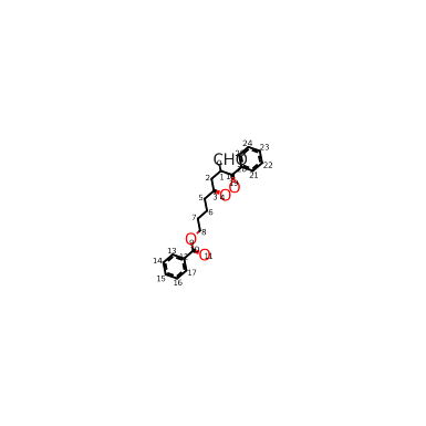 O=CC(CC(=O)CCCCOC(=O)c1ccccc1)C(=O)c1ccccc1